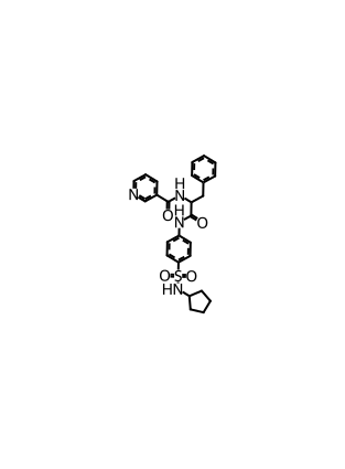 O=C(NC(Cc1ccccc1)C(=O)Nc1ccc(S(=O)(=O)NC2CCCC2)cc1)c1cccnc1